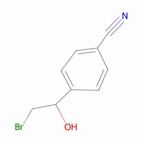 N#Cc1ccc(C(O)CBr)cc1